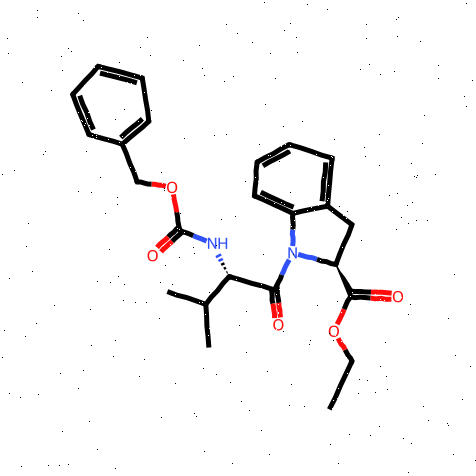 CCOC(=O)[C@@H]1Cc2ccccc2N1C(=O)[C@@H](NC(=O)OCc1ccccc1)C(C)C